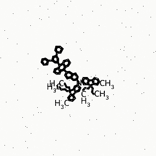 CCCCC1(CCCC)c2cc(C)ccc2-c2ccc(N(c3ccc4c(c3)C(CCCC)(CCCC)c3cc(C)ccc3-4)c3ccc4cc(-c5c6ccccc6c(-c6cc(-c7ccccc7)cc(-c7ccccc7)c6)c6ccccc56)ccc4c3)cc21